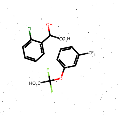 O=C(O)C(F)(F)Oc1cccc(C(F)(F)F)c1.O=C(O)C(O)c1ccccc1Cl